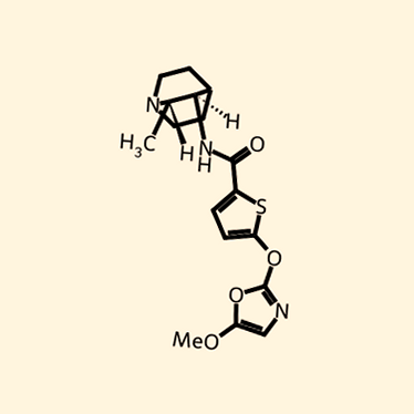 COc1cnc(Oc2ccc(C(=O)N[C@@H]3C4CCN(CC4)[C@H]3C)s2)o1